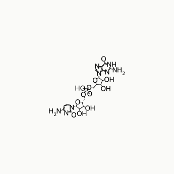 Nc1ccn([C@@H]2O[C@H](COP(=O)(O)OC[C@H]3O[C@@H](n4cnc5c(=O)[nH]c(N)nc54)C(O)C3O)C(O)C2O)c(=O)n1